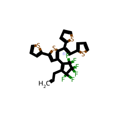 C=CCC1=C(c2cc(-c3cccs3)sc2/C(=C/c2cccs2)c2cccs2)C(F)(F)C(F)(F)C1(F)F